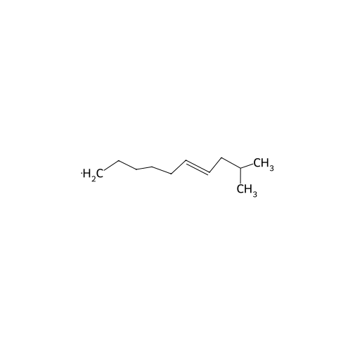 [CH2]CCCC/C=C/CC(C)C